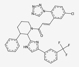 O=C(C=Cc1cc(Cl)ccc1-n1cnnn1)N1CCCC(c2ccccc2)C1c1nc(-c2cccc(C(F)(F)F)c2)c[nH]1